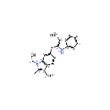 Cc1c(C=O)c2ccc(Cc3[nH]c4ccccc4c3C=O)cc2n1CC#N